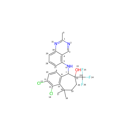 Cc1ncc2c(NC3c4ccc(Cl)c(Cl)c4C(C)(C)CCC3(O)C(F)(F)F)cccc2n1